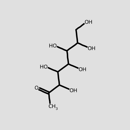 CC(=O)C(O)C(O)C(O)C(O)C(O)CO